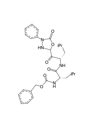 CC(C)C[C@H](NC(=O)OCc1ccccc1)C(=O)N[C@@H](CC(C)C)C(=O)C1NN(c2ccccc2)C(=O)O1